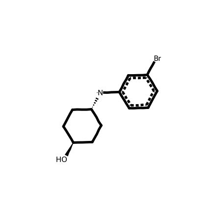 O[C@H]1CC[C@H]([N]c2cccc(Br)c2)CC1